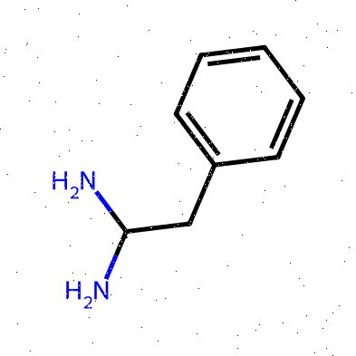 N[C](N)Cc1ccccc1